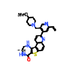 C=Cc1cc(-c2ccc3c(ccc4sc5c(c43)NC[C@@H](C)NC5=O)n2)c(CN2CCC(OC)CC2)cn1